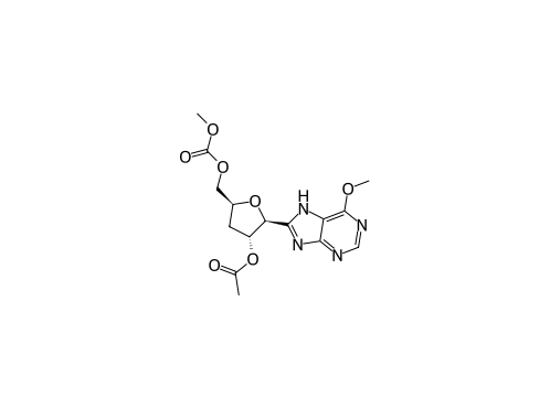 COC(=O)OC[C@@H]1C[C@@H](OC(C)=O)[C@H](c2nc3ncnc(OC)c3[nH]2)O1